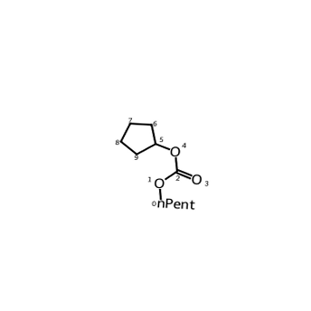 [CH2]CCCCOC(=O)OC1CCCC1